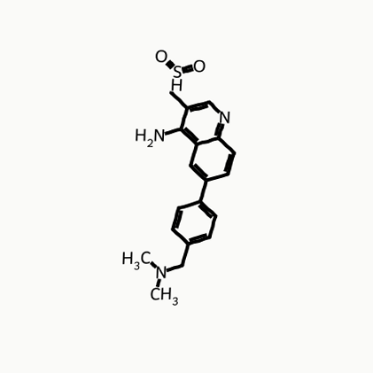 CN(C)Cc1ccc(-c2ccc3ncc(C[SH](=O)=O)c(N)c3c2)cc1